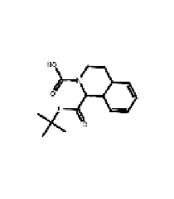 CC(C)(C)OC(=O)C1C2C=CC=CC2CCN1C(=O)O